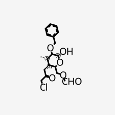 C[C@@H]1C(OCc2ccccc2)[C@H](O)OC(COC=O)[C@H]1CC(=O)CCl